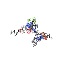 COc1ccc(-n2nc(C(F)(F)F)c3c2C(=O)N(CCCC/C(=N\S(C)(=O)=O)N2CCCC2)CC3)cc1